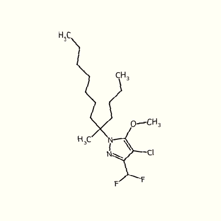 CCCCCCCC(C)(CCCC)n1nc(C(F)F)c(Cl)c1OC